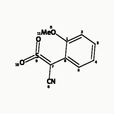 COc1ccccc1C(C#N)=S(=O)=O